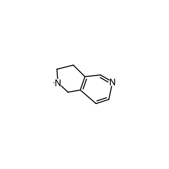 c1cc2c(cn1)CC[N]C2